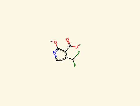 COC(=O)c1c(C(F)F)ccnc1OC